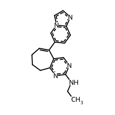 CCNc1ncc2c(n1)CCCC=C2c1ccc2nccn2c1